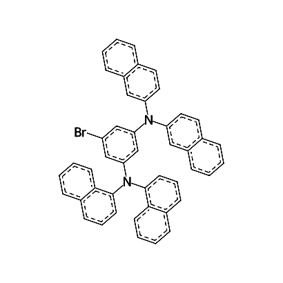 Brc1cc(N(c2ccc3ccccc3c2)c2ccc3ccccc3c2)cc(N(c2cccc3ccccc23)c2cccc3ccccc23)c1